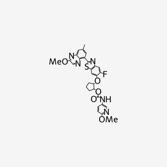 COc1ccc(NC(=O)O[C@H]2CCC[C@H]2Oc2cc3sc(-c4cc(C)cc5nc(OC)cnc45)nc3cc2F)cn1